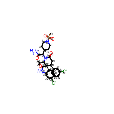 C=C(C)[C@H]1N(C(C(N)=O)C2CCN(S(C)(=O)=O)CC2)C(=O)C[C@@H](c2cccc(Cl)c2)[C@]12C(=O)Nc1cc(Cl)ccc12